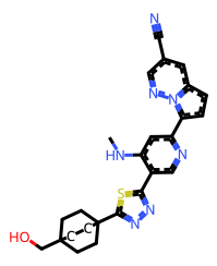 CNc1cc(-c2ccc3cc(C#N)cnn23)ncc1-c1nnc(C23CCC(CO)(CC2)CC3)s1